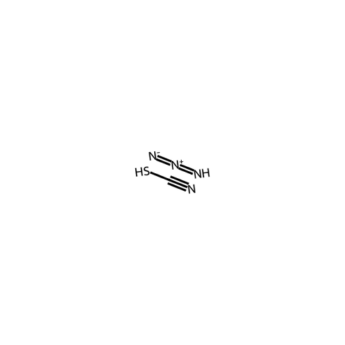 N#CS.[N-]=[N+]=N